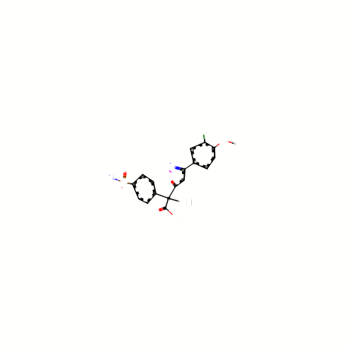 COc1ccc(-c2cc(C(C)(C(=O)O)c3ccc(S(N)(=O)=O)cc3)on2)cc1F